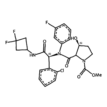 COC(=O)N1CC[C@H](O)C1C(=O)N(c1cccc(F)c1)[C@H](C(=O)NC1CC(F)(F)C1)c1ccccc1Cl